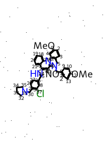 COc1ccc(CN(Cc2ccc(OC)cc2)c2nc3ccccc3c(NCc3ccc(CN4CCCC4)c(Cl)c3)c2[N+](=O)[O-])cc1